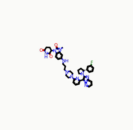 Cn1c(=O)n(C2CCC(=O)NC2=O)c2ccc(NCCCN3CCN(c4cccc(-c5c(N6CCC[C@@H]6c6cccc(F)c6)nc6cccnn56)n4)CC3)cc21